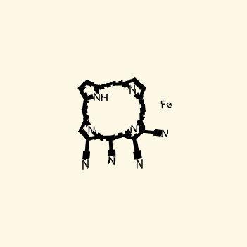 N#CC1=Cc2cc3ccc(cc4nc(cc5[nH]c(c(C#N)c1n2)c(C#N)c5C#N)C=C4)[nH]3.[Fe]